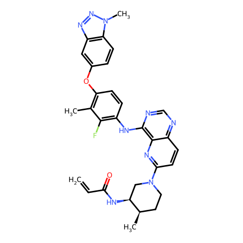 C=CC(=O)N[C@H]1CN(c2ccc3ncnc(Nc4ccc(Oc5ccc6c(c5)nnn6C)c(C)c4F)c3n2)CC[C@H]1C